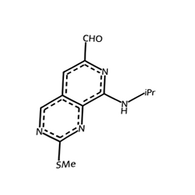 CSc1ncc2cc(C=O)nc(NC(C)C)c2n1